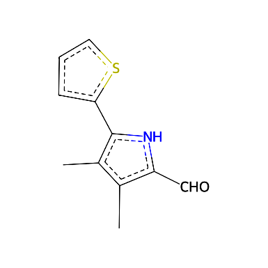 Cc1c(C=O)[nH]c(-c2cccs2)c1C